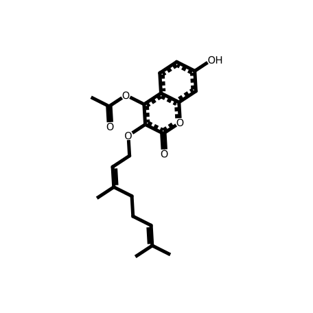 CC(=O)Oc1c(OCC=C(C)CCC=C(C)C)c(=O)oc2cc(O)ccc12